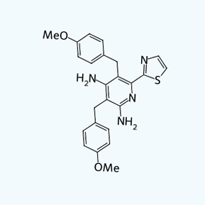 COc1ccc(Cc2c(N)nc(-c3nccs3)c(Cc3ccc(OC)cc3)c2N)cc1